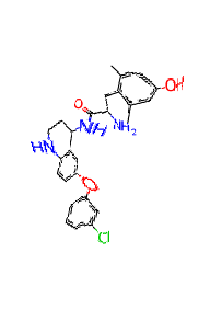 Cc1cc(O)cc(C)c1CC(N)C(=O)NC1CCNc2ccc(Oc3cccc(Cl)c3)cc21